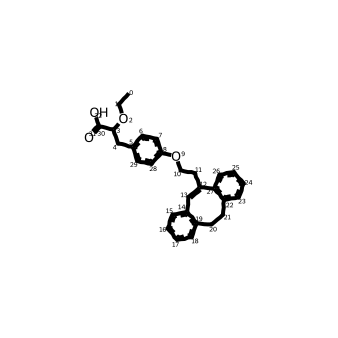 CCOC(Cc1ccc(OCC/C2=C/c3ccccc3CCc3ccccc32)cc1)C(=O)O